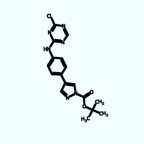 CC(C)(C)OC(=O)n1cc(-c2ccc(Nc3ncnc(Cl)n3)cc2)cn1